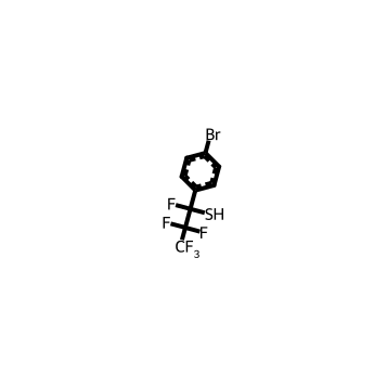 FC(F)(F)C(F)(F)C(F)(S)c1ccc(Br)cc1